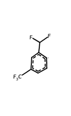 FC(F)c1[c]ccc(C(F)(F)F)c1